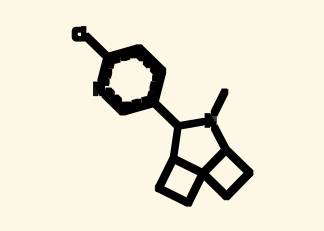 CN1C(c2ccc(Cl)nc2)C2CCC23CCC13